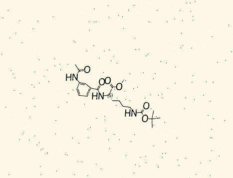 COC(=O)[C@H](CCCCNC(=O)OC(C)(C)C)NC(=O)c1cccc(NC(C)=O)c1